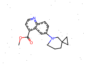 COC(=O)c1ccnc2ccc(N3CCCC4(CC4)C3)cc12